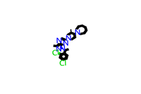 Cc1nn(C(C)c2ccc(Cl)cc2Cl)c2nc(N3CC[C@H](N4CCCCCCC4)[C@H](C)C3)cnc12